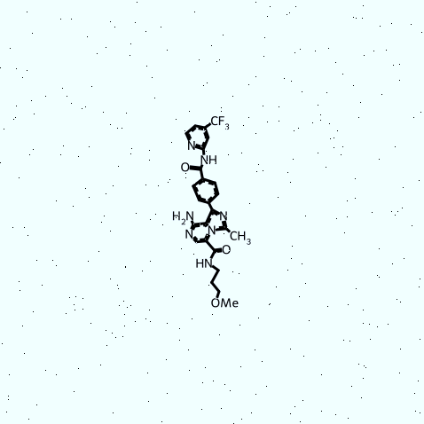 COCCCNC(=O)c1cnc(N)c2c(-c3ccc(C(=O)Nc4cc(C(F)(F)F)ccn4)cc3)nc(C)n12